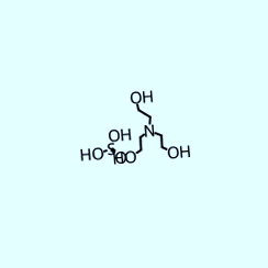 O=S(O)O.OCCN(CCO)CCO